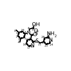 Cc1cc(C)cc(N(CC(=O)O)C(=O)c2cccnc2SCc2ccnc(N)c2)c1